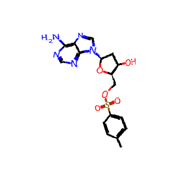 Cc1ccc(S(=O)(=O)OC[C@H]2O[C@@H](n3cnc4c(N)ncnc43)CC2O)cc1